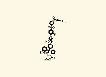 CC#CC(=O)N1CC[C@@H](S(=O)(=O)c2ccc(N3CC(O)(CN4CCC(C(CNC(C)=O)(c5cccc(F)c5)[C@H]5CCC[C@@H]5NC(=O)OC)CC4)C3)c(F)c2)C1